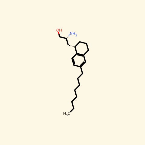 CCCCCCCCc1ccc2c(c1)CCC[C@H]2C[C@@H](N)CO